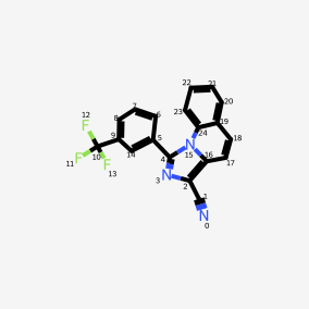 N#Cc1nc(-c2cccc(C(F)(F)F)c2)n2c1ccc1ccccc12